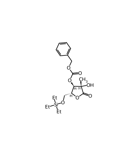 CC[Si](CC)(CC)OC[C@H]1OC(=O)[C@@](C)(O)[C@@H]1OC(=O)OCc1ccccc1